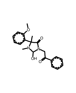 COc1ccccc1C1(C)C(=O)N(CC(=O)c2ccccc2)C(O)N1C